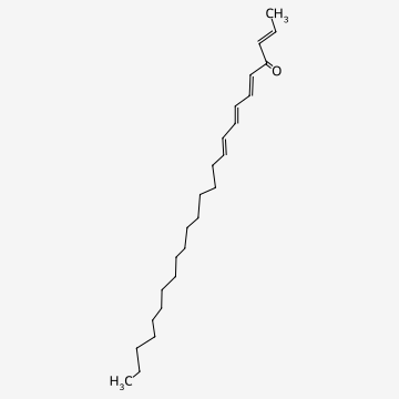 CC=CC(=O)C=CC=CC=CCCCCCCCCCCCCCCC